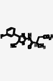 C[C@H](CC(=O)O)C(=O)Nc1nc(-c2cccc(F)c2)c(C#N)s1